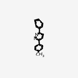 Cc1ccc(-c2ccc(-c3ccccc3)nn2)cc1